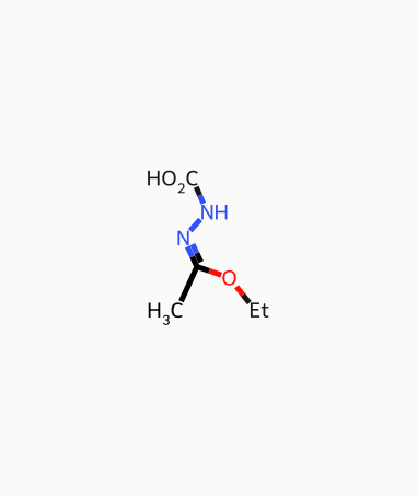 CCO/C(C)=N\NC(=O)O